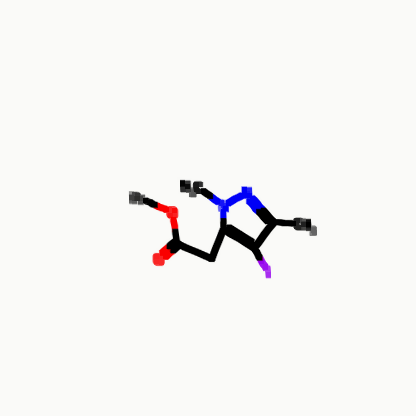 Cc1nn(C)c(CC(=O)OC(C)C)c1I